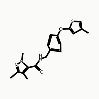 Cc1csc(Oc2ccc(CNC(=O)c3c(C)c(C)nn3C)cc2)c1